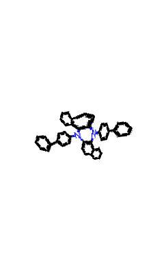 c1ccc(-c2ccc(N3c4ccc5ccccc5c4N(c4ccc(-c5ccccc5)cc4)c4ccc5ccccc5c43)cc2)cc1